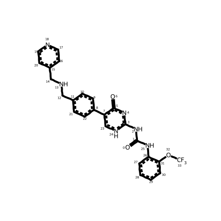 O=C(Nc1nc(=O)c(-c2ccc(CNCc3ccncc3)cc2)c[nH]1)Nc1ccccc1OC(F)(F)F